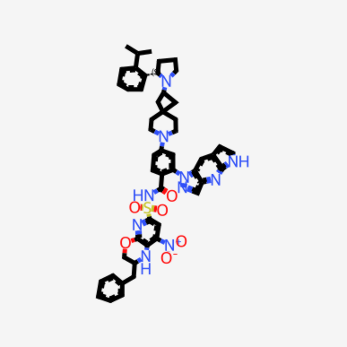 CC(C)c1ccccc1[C@@H]1CCCN1C1CC2(CCN(c3ccc(C(=O)NS(=O)(=O)c4cc([N+](=O)[O-])c5c(n4)OCC(Cc4ccccc4)N5)c(-n4ncc5nc6[nH]ccc6cc54)c3)CC2)C1